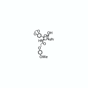 CCCN(CCO)C[C@@H](NC(=O)CCOc1ccc(OC)cc1)[C@H](O)c1ccc2c(c1)OCCO2